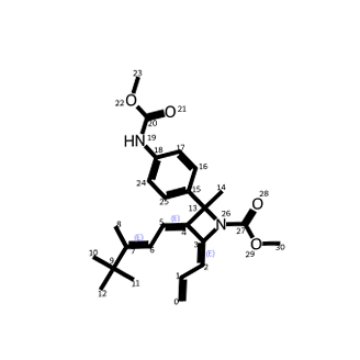 C=C\C=C1/C(=C\C=C(/C)C(C)(C)C)C(C)(c2ccc(NC(=O)OC)cc2)N1C(=O)OC